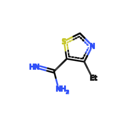 CCc1ncsc1C(=N)N